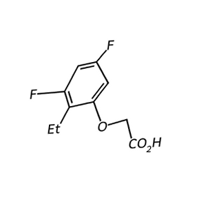 CCc1c(F)cc(F)cc1OCC(=O)O